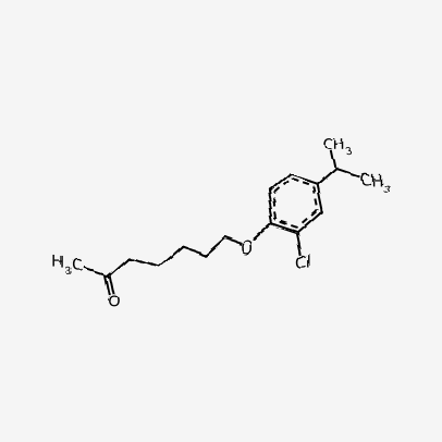 CC(=O)CCCCCOc1ccc(C(C)C)cc1Cl